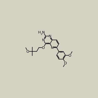 COc1ccc(-c2ccc3nc(N)nc(OCCC(C)(C)OC)c3n2)cc1OC